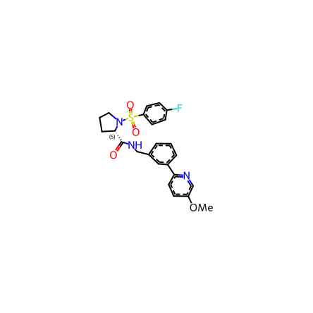 COc1ccc(-c2cccc(CNC(=O)[C@@H]3CCCN3S(=O)(=O)c3ccc(F)cc3)c2)nc1